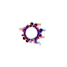 CCCC[C@H]1C(=O)N(C)CC(=O)N[C@@H](CC(=O)O)C(=O)N[C@@H](C(C)C)C(=O)N(C)[C@@H](Cc2ccccc2)C(=O)N[C@@H](Cc2ccc(O)cc2)C(=O)N(C)CC(=O)N[C@@H](Cc2cccc3[nH]ccc23)C(=O)N[C@@H](Cc2ccc(O)cc2)C(=O)N[C@@H](CC(C)C)C(=O)N[C@H](C(=O)NCC(N)=O)CSCC(=O)N[C@@H](Cc2ccccc2)C(=O)N(C)[C@@H](Cc2ccccc2)C(=O)N1C